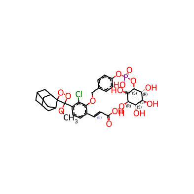 COC1(c2ccc(/C=C/C(=O)O)c(OCc3ccc(OP(=O)(O)O[C@@H]4[C@H](O)[C@H](O)[C@@H](O)[C@H](O)[C@H]4O)cc3)c2Cl)OOC12C1CC3CC(C1)CC2C3